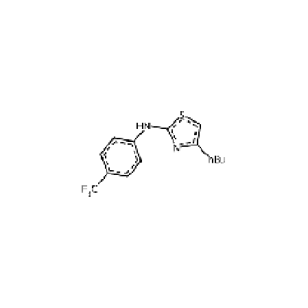 CCCCc1csc(Nc2ccc(C(F)(F)F)cc2)n1